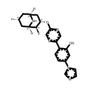 C[C@@H]1C[C@H]2C[C@H](Oc3cnc(-c4ccc(-n5ccnc5)cc4O)cn3)[C@@H](F)[C@@H](C1)N2